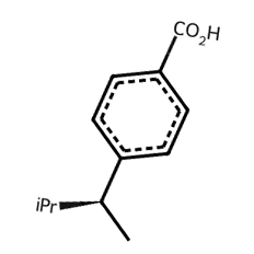 CC(C)[C@H](C)c1ccc(C(=O)O)cc1